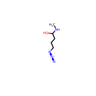 CNC(O)CCCN=[N+]=[N-]